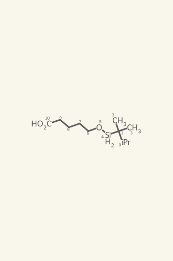 CC(C)C(C)(C)[SiH2]OCCCCC(=O)O